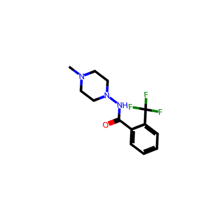 CN1CCN(NC(=O)c2ccccc2C(F)(F)F)CC1